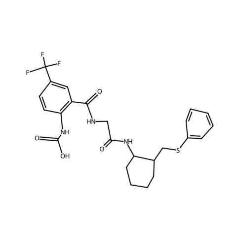 O=C(O)Nc1ccc(C(F)(F)F)cc1C(=O)NCC(=O)NC1CCCCC1CSc1ccccc1